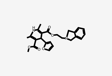 COC(=O)C1=C(C)NC(C)=C(C(=O)OCCN2Cc3ccccc3C2)C1c1ccco1